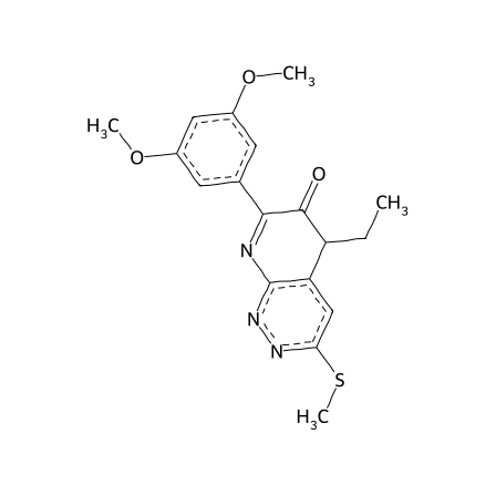 CCC1C(=O)C(c2cc(OC)cc(OC)c2)=Nc2nnc(SC)cc21